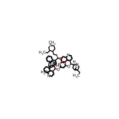 CCC1CCN2CCC1C[C@@H]2[C@@H](Oc1cc(OC(c2ccnc3ccccc23)[C@@H]2CC3CCN2CC3CC)nc(O[C@H](CCC2CCN(C)CC2CC)c2ccnc3ccccc23)n1)c1ccnc2ccccc12